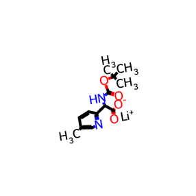 Cc1ccc(C(NC(=O)OC(C)(C)C)C(=O)[O-])nc1.[Li+]